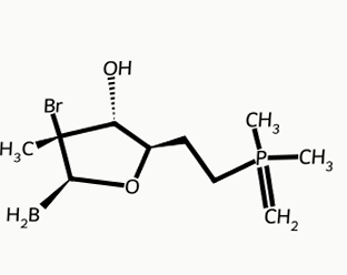 B[C@@H]1O[C@H](CCP(=C)(C)C)[C@@H](O)[C@@]1(C)Br